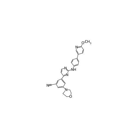 COc1ccc(-c2ccc(Nc3nccc(-c4cc(C#N)cc(N5CCOCC5)c4)n3)cc2)cn1